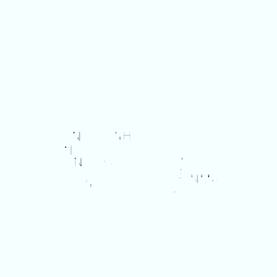 CNS(=O)(=O)c1ccc(C(=O)N[C@@H](C2CCCCC2)C2CN(C3(N)CC3)N=N2)cc1